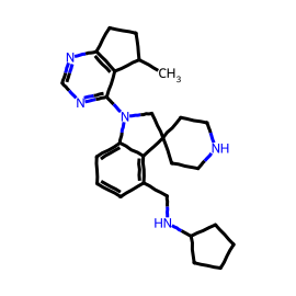 CC1CCc2ncnc(N3CC4(CCNCC4)c4c(CNC5CCCC5)cccc43)c21